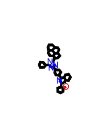 C1=CC2=CCc3ccc(-c4nc(-c5ccccc5)nc(-c5ccc(-c6nc7c8ccccc8oc7c7ccccc67)cc5)n4)c4c3C2C(=C1)C=C4